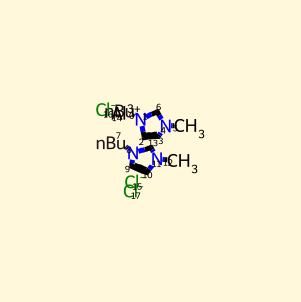 CCCCN1C=CN(C)C1.CCCCN1C=CN(C)C1.[Al+3].[Cl-].[Cl-].[Cl-]